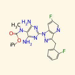 CC(C)OC(=O)N(C)c1c(N)nc(-n2nc(Cc3ccccc3F)c3ncc(F)cc32)nc1N